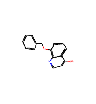 Oc1ccnc2c(OCc3ccccc3)cccc12